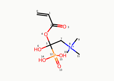 C=CC(=O)OC(O)(C[N+](C)(C)C)P(=O)(O)O